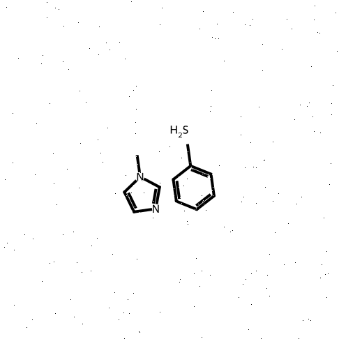 Cc1ccccc1.Cn1ccnc1.S